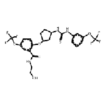 O=C(NCCO)c1cc(OC(F)(F)F)ccc1OC1CCC(NC(=S)Nc2cccc(OC(F)(F)F)c2)C1